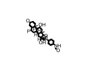 C[C@]12C=CC(=O)C=C1[C@@H](F)C[C@H]1[C@@H]3C[C@H]4CN(c5ccc(NC=O)cc5)O[C@]4(C(=O)CO)[C@@]3(C)C[C@H](O)[C@]12F